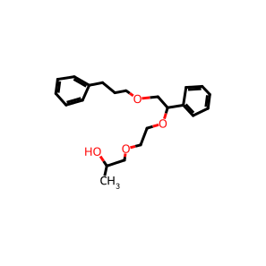 CC(O)COCCOC(COCCCc1ccccc1)c1ccccc1